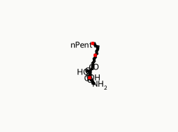 CCCCC/C=C\C/C=C\CCCCCCCC(=O)OC[C@H](COP(=O)(O)OCCN)OO